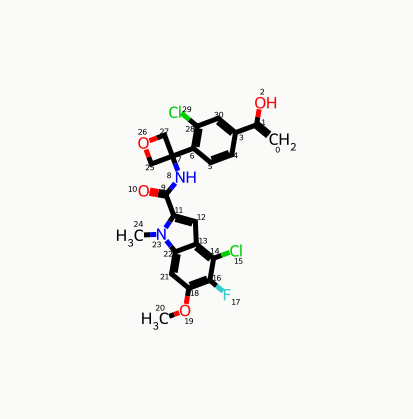 C=C(O)c1ccc(C2(NC(=O)c3cc4c(Cl)c(F)c(OC)cc4n3C)COC2)c(Cl)c1